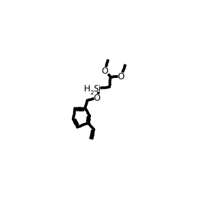 C=Cc1cccc(CO[SiH2]CC(OC)OC)c1